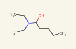 CCCCC(O)N(CC)CC